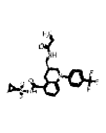 C=CC(=O)NC[C@@H]1Cc2c(C(=O)NS(=O)(=O)C3CC3)cccc2N(c2ccc(C(F)(F)F)cc2)C1